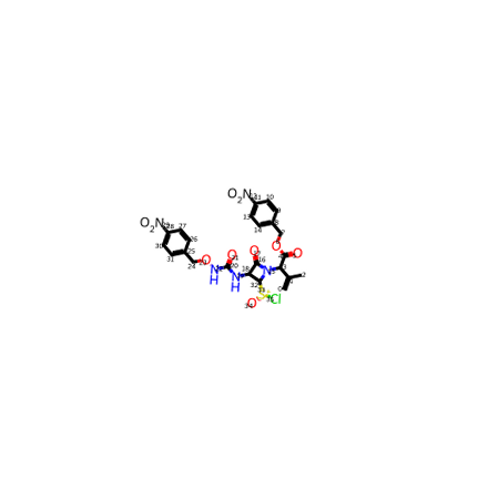 C=C(C)C(C(=O)OCc1ccc([N+](=O)[O-])cc1)N1C(=O)C(NC(=O)NOCc2ccc([N+](=O)[O-])cc2)C1[S+]([O-])Cl